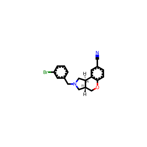 N#Cc1ccc2c(c1)[C@@H]1CN(Cc3cccc(Br)c3)C[C@H]1CO2